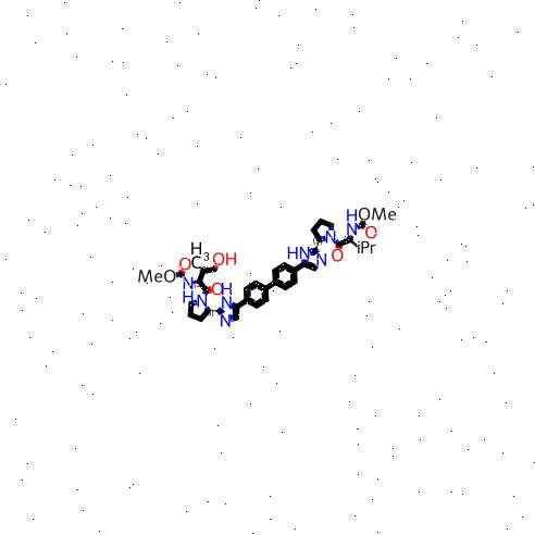 COC(=O)N[C@H](C(=O)N1CCC[C@H]1c1ncc(-c2ccc(-c3ccc(-c4cnc([C@@H]5CCCN5C(=O)[C@@H](NC(=O)OC)[C@H](C)CO)[nH]4)cc3)cc2)[nH]1)C(C)C